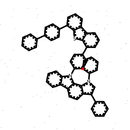 c1ccc(-c2ccc(-c3cccc4c3sc3c(-c5ccc(-n6c7ccccc7c7ccc8c(-c9ccccc9)cn(-c9ccccc9)c8c76)cc5)cccc34)cc2)cc1